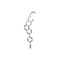 CCCCC1Cc2ccc3cc(-c4ccc(C#N)cc4)ccc3c2CC1F